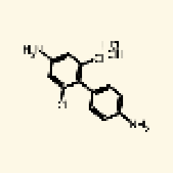 Cl.Cl.Nc1ccc(-c2c(Cl)cc(N)cc2Cl)cc1